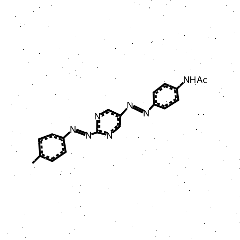 CC(=O)Nc1ccc(N=Nc2cnc(N=Nc3ccc(C)cc3)nc2)cc1